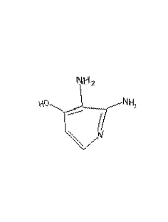 Nc1nccc(O)c1N